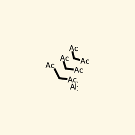 CC(=O)CC(C)=O.CC(=O)CC(C)=O.CC(=O)CC(C)=O.[Al]